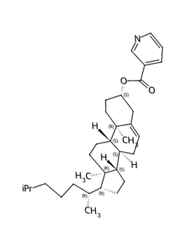 CC(C)CCC[C@@H](C)[C@H]1CC[C@H]2[C@@H]3CC=C4C[C@@H](OC(=O)c5cccnc5)CC[C@]4(C)[C@H]3CC[C@]12C